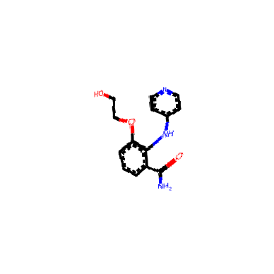 NC(=O)c1cccc(OCCO)c1Nc1ccncc1